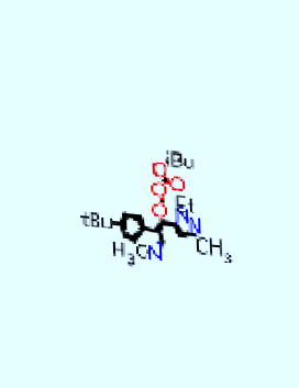 CCC(C)OC(=O)OCO/C(=C(/C=N\C)c1ccc(C(C)(C)C)cc1)c1cc(C)nn1CC